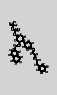 CC(C)(C)OC(=O)ON1CCC(c2ccc(OCCOCCc3ccccc3)cc2)C(OCc2ccc3ccccc3c2)C1